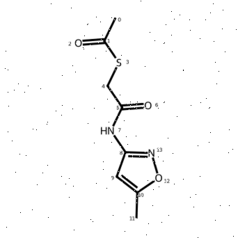 CC(=O)SCC(=O)Nc1cc(C)on1